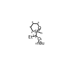 CCCCOC(CC)[Si]1(C)CCCCO1